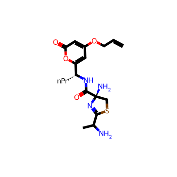 C=CCOc1cc([C@@H](CCC)NC(=O)[C@]2(N)CSC(C(C)N)=N2)oc(=O)c1